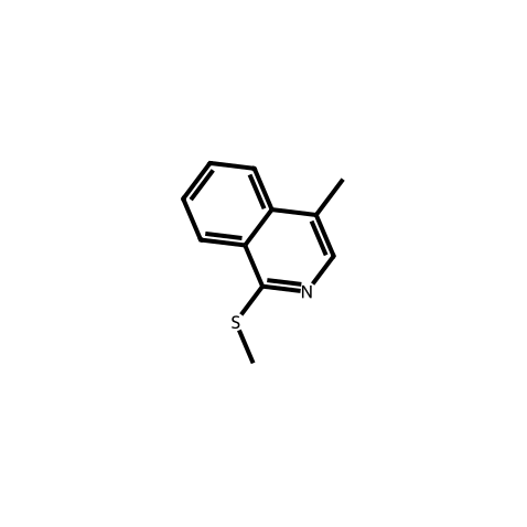 CSc1ncc(C)c2ccccc12